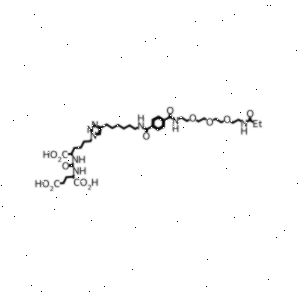 CCC(=O)NCCOCCOCCOCCNC(=O)c1ccc(C(=O)NCCCCCCc2cn(CCCCC(NC(=O)NC(CCC(=O)O)C(=O)O)C(=O)O)nn2)cc1